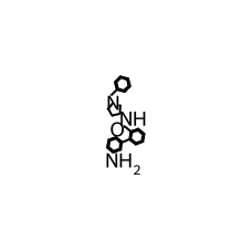 Nc1cccc(-c2ccccc2C(=O)NC2CCN(Cc3ccccc3)C2)c1